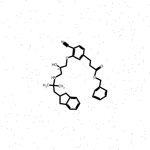 CC(C)(CC1Cc2ccccc2C1)NC[C@@H](O)COc1cc(CCC(=O)OCc2ccccc2)ccc1C#N